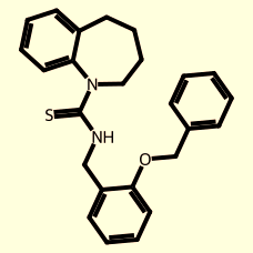 S=C(NCc1ccccc1OCc1ccccc1)N1CCCCc2ccccc21